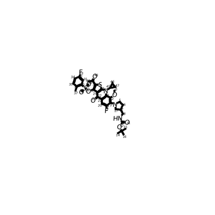 COc1c(N2CCC(CNC(=O)OC(C)(C)C)C2)c(F)cc2c(=O)c3c(OS(=O)(=O)c4cc(F)ccc4C)c(C(C)=O)sc3n(C3CC3)c12